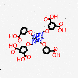 O=C(O)c1cccc(OC[N+]23C[N+]4(COc5cccc(C(=O)O)c5)C[N+](COc5cc(C(=O)O)cc(C(=O)O)c5)(C2)C[N+](COc2cc(C(=O)O)cc(C(=O)O)c2)(C3)C4)c1